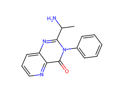 CC(N)c1nc2cccnc2c(=O)n1-c1ccccc1